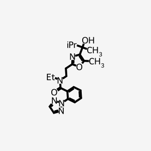 CCN(CCc1nc(C(C)(O)C(C)C)c(C)o1)C(=O)c1ccccc1-n1nccn1